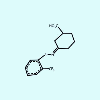 O=C(O)C1CCCC(=NOc2ccccc2C(F)(F)F)C1